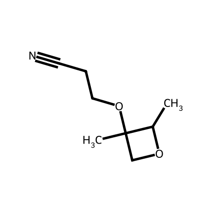 CC1OCC1(C)OCCC#N